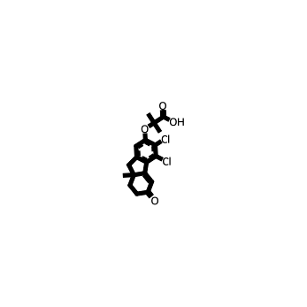 CC12CCC(=O)C=C1c1c(cc(OC(C)(C)C(=O)O)c(Cl)c1Cl)C2